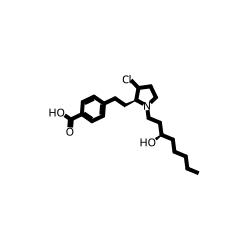 CCCCC[C@@H](O)CCN1CCC(Cl)[C@@H]1CCc1ccc(C(=O)O)cc1